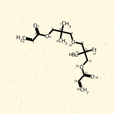 C=CC(=O)OCC(C)(C)COCC(CC)(CCCC)COC(=O)C=C